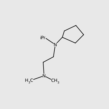 CC(C)N(CCN(C)C)C1CCCC1